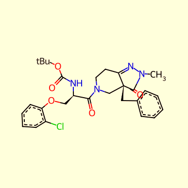 CN1N=C2CCN(C(=O)[C@@H](COc3ccccc3Cl)NC(=O)OC(C)(C)C)C[C@@]2(Cc2ccccc2)C1=O